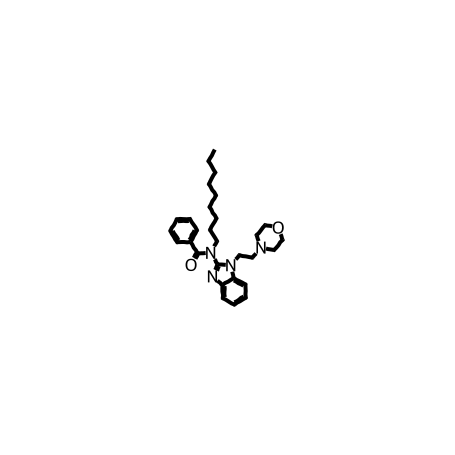 CCCCCCCCCN(C(=O)c1ccccc1)c1nc2ccccc2n1CCN1CCOCC1